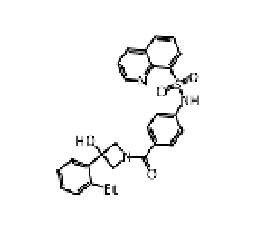 CCc1ccccc1C1(O)CN(C(=O)c2ccc(NS(=O)(=O)c3cccc4cccnc34)cc2)C1